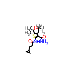 CC1(C)Cc2c(sc(NC(=O)CCC3CC3)c2C(N)=O)C(C)(C)O1